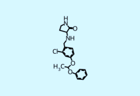 CC(Oc1ccccc1)Oc1ccc(CNC2CCNC2=O)c(Cl)c1